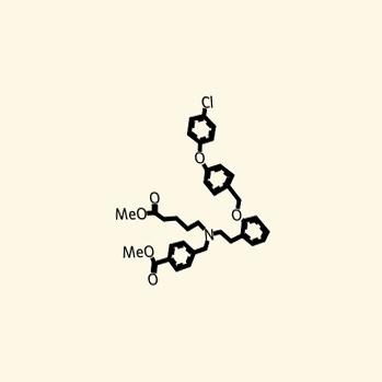 COC(=O)CCCCN(CCc1ccccc1OCc1ccc(Oc2ccc(Cl)cc2)cc1)Cc1ccc(C(=O)OC)cc1